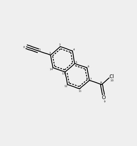 C#Cc1ccc2cc(C(=O)Cl)ccc2c1